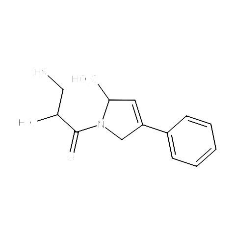 CC(CS)C(=O)N1CC(c2ccccc2)=CC1C(=O)O